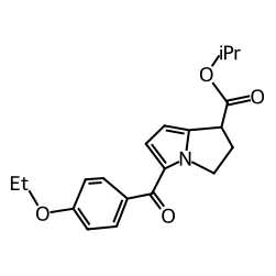 CCOc1ccc(C(=O)c2ccc3n2CCC3C(=O)OC(C)C)cc1